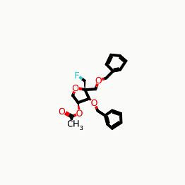 CC(=O)O[C@H]1CO[C@](CF)(COCc2ccccc2)[C@H]1OCc1ccccc1